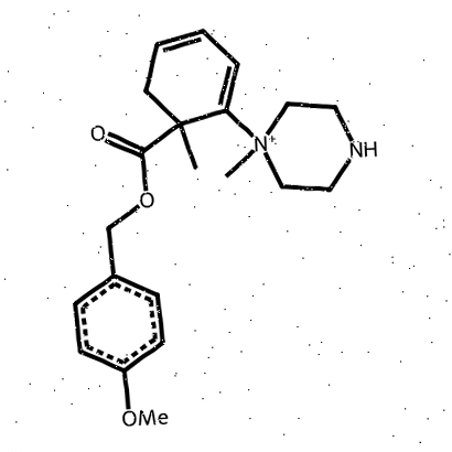 COc1ccc(COC(=O)C2(C)CC=CC=C2[N+]2(C)CCNCC2)cc1